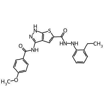 CCc1ccccc1NNC(=O)c1cc2c(NC(=O)c3ccc(OC)cc3)n[nH]c2s1